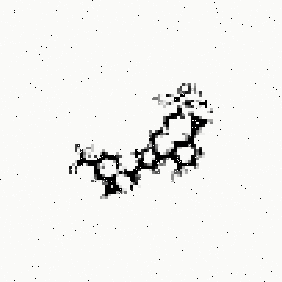 C[Si](C)(C)CCOCn1nc(C(=O)N2CCC(C(N)=O)CC23CC3)cc1-c1cc(C2CC2)ncc1F